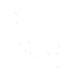 COCCn1c(C)nc2ccc(-c3ccn4nc(N[C@H]5CC[C@@H](N6CCN(C)CC6)CC5)ncc34)nc21